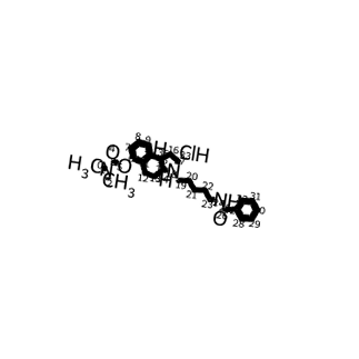 CN(C)C(=O)Oc1cccc2c1CC[C@@H]1[C@H]2CCN1CCCCCNC(=O)c1ccccc1.Cl